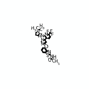 CC(=O)Nc1nc2c(Oc3cc(-c4ccc(C(F)(F)F)nc4NC[C@H]4CCCN4C(C)C)ncn3)cccc2s1